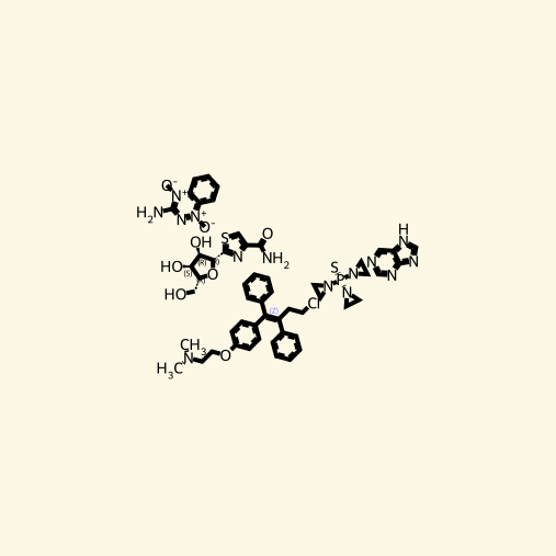 CN(C)CCOc1ccc(/C(=C(/CCCl)c2ccccc2)c2ccccc2)cc1.NC(=O)c1csc([C@@H]2O[C@H](CO)[C@@H](O)[C@H]2O)n1.Nc1n[n+]([O-])c2ccccc2[n+]1[O-].S=P(N1CC1)(N1CC1)N1CC1.c1ncc2[nH]cnc2n1